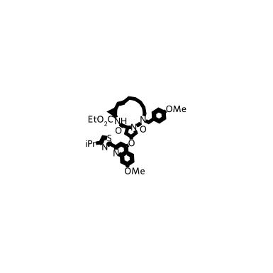 CCOC(=O)C12CC1/C=C/CCCCCN(Cc1ccc(OC)cc1)C(=O)N1CC(Oc3cc(-c4nc(C(C)C)cs4)nc4cc(OC)ccc34)CC1C(=O)N2